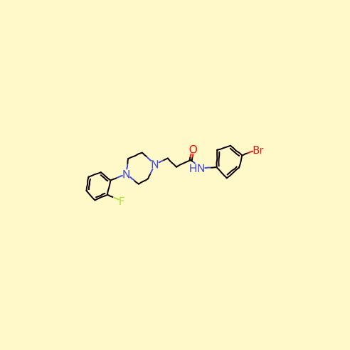 O=C(CCN1CCN(c2ccccc2F)CC1)Nc1ccc(Br)cc1